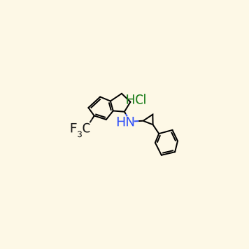 Cl.FC(F)(F)c1ccc2c(c1)C(NC1CC1c1ccccc1)CC2